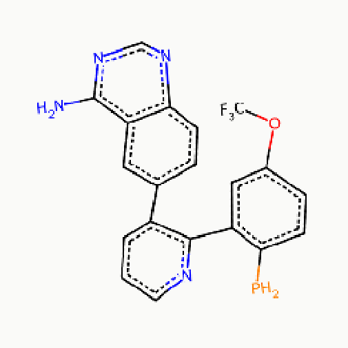 Nc1ncnc2ccc(-c3cccnc3-c3cc(OC(F)(F)F)ccc3P)cc12